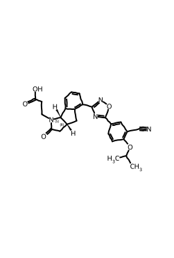 CC(C)Oc1ccc(-c2nc(-c3cccc4c3C[C@@H]3CC(=O)N(CCC(=O)O)[C@H]43)no2)cc1C#N